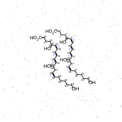 O=C(O)CCC[C@H](O)\C=C/C=C/C=C/[C@H](O)C/C=C\CCCCCO.O=C(O)CCC[C@H](O)\C=C/C=C/C=C/[C@H](O)C/C=C\CCCCCO